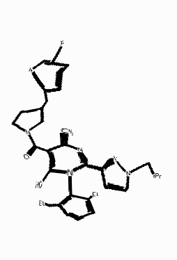 C=C1N=C(c2ccn(CC(C)C)n2)N(c2c(CC)cccc2CC)C(O)=C1C(=O)N1CCC(c2ccc(F)cn2)C1